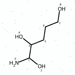 NC(O)C(O)CCCO